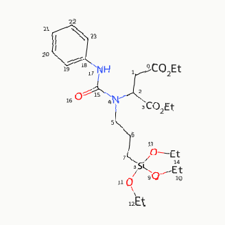 CCOC(=O)CC(C(=O)OCC)N(CCC[Si](OCC)(OCC)OCC)C(=O)Nc1ccccc1